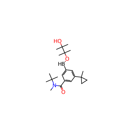 CN(C(=O)c1cc(BOC(C)(C)C(C)(C)O)cc(C2(C)CC2)c1)C(C)(C)C